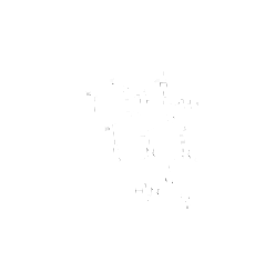 [2H]C([2H])([2H])c1cnc(C(N)=O)nc1-c1ccccc1F